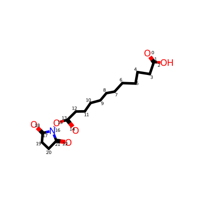 O=C(O)CCCCCCCCCCC(=O)ON1C(=O)CCC1=O